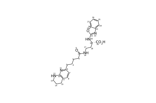 O=C(CCCCc1ccc2c(n1)NCCC2)NCC[C@H](Nc1nc2ccccc2o1)C(=O)O